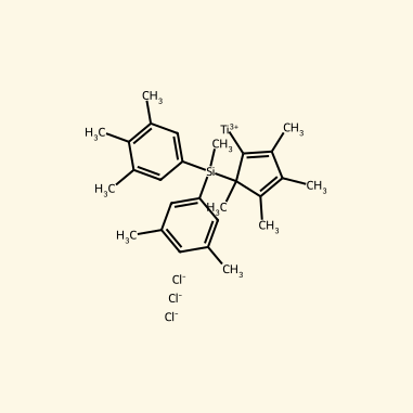 CC1=C(C)C(C)([Si](C)(c2cc(C)cc(C)c2)c2cc(C)c(C)c(C)c2)[C]([Ti+3])=C1C.[Cl-].[Cl-].[Cl-]